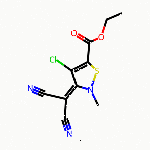 CCOC(=O)C1=C(Cl)C(=C(C#N)C#N)N(C)S1